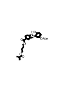 C=C(C)C(=O)OCCCCOC(=O)c1ccc2nn(-c3cc(OC)ccc3O)nc2c1